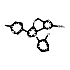 CC(=O)Nc1nc2c(s1)-c1c(c(-c3ccc(C)nc3)nn1-c1ccccc1Br)OC2